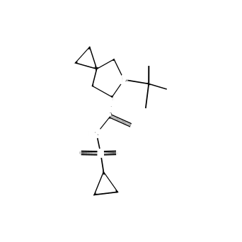 CC(C)(C)N1CC2(CC2)C[C@H]1C(=O)NS(=O)(=O)C1CC1